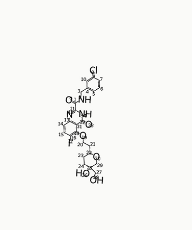 O=C(NCc1cccc(Cl)c1)c1nc2ccc(F)c(OCCC3CCC(O)(CO)CO3)c2c(=O)[nH]1